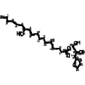 CCCCCCC(O)CCCCCCCCCCC(=O)O[C@@H](C1OCCO1)[C@H](O)CO